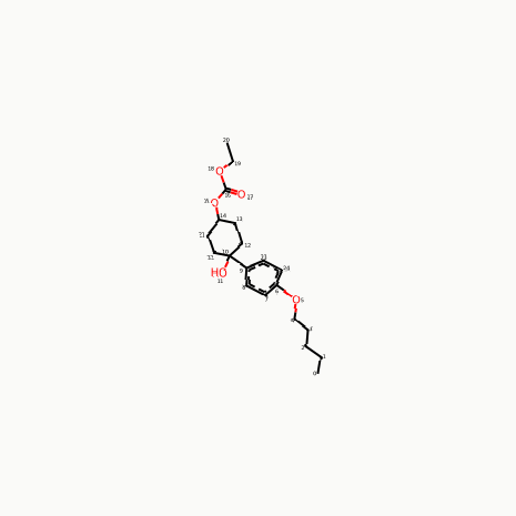 CCCCCOc1ccc(C2(O)CCC(OC(=O)OCC)CC2)cc1